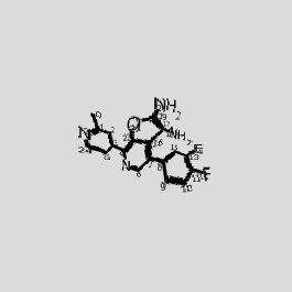 Cc1cc(-c2ncc(-c3ccc(F)c(F)c3)c3c(N)c(N)oc23)ccn1